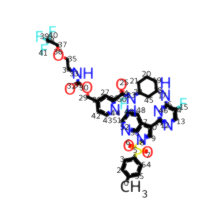 Cc1ccc(S(=O)(=O)n2cc(-c3ncc(F)c(N[C@H]4CCCC(NC(=O)c5cc(COC(=O)NCCOCC(F)(F)F)ccn5)C4)n3)c3cc(F)cnc32)cc1